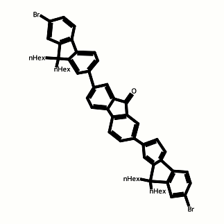 CCCCCCC1(CCCCCC)c2cc(Br)ccc2-c2ccc(-c3ccc4c(c3)C(=O)c3cc(-c5ccc6c(c5)C(CCCCCC)(CCCCCC)c5cc(Br)ccc5-6)ccc3-4)cc21